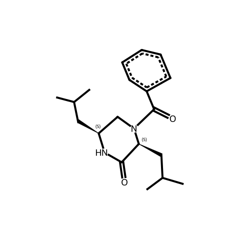 CC(C)C[C@H]1CN(C(=O)c2ccccc2)[C@@H](CC(C)C)C(=O)N1